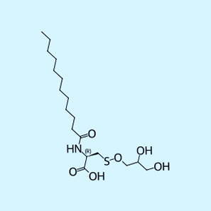 CCCCCCCCCCCC(=O)N[C@@H](CSOCC(O)CO)C(=O)O